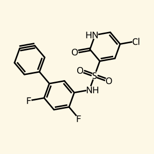 O=c1[nH]cc(Cl)cc1S(=O)(=O)Nc1cc(-c2cc#ccc2)c(F)cc1F